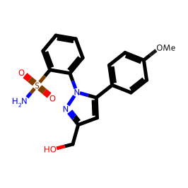 COc1ccc(-c2cc(CO)nn2-c2ccccc2S(N)(=O)=O)cc1